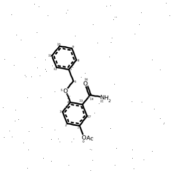 CC(=O)Oc1ccc(OCc2ccccc2)c(C(N)=O)c1